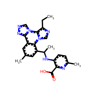 CCc1ncn2c3c(C(C)Nc4ccc(C)nc4C(=O)O)cc(C)cc3c3nncn3c12